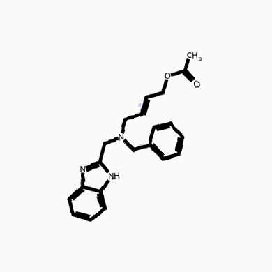 CC(=O)OC/C=C/CN(Cc1ccccc1)Cc1nc2ccccc2[nH]1